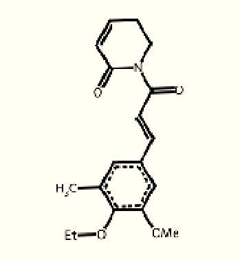 CCOc1c(C)cc(/C=C/C(=O)N2CCC=CC2=O)cc1OC